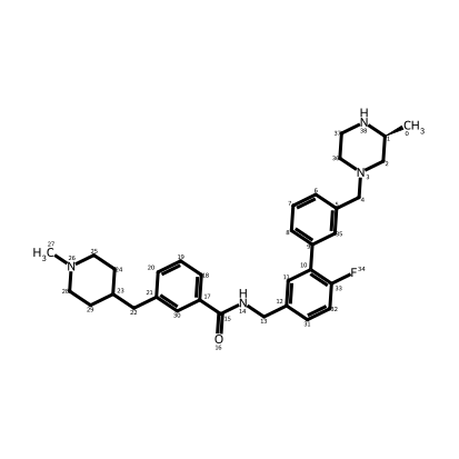 C[C@H]1CN(Cc2cccc(-c3cc(CNC(=O)c4cccc(CC5CCN(C)CC5)c4)ccc3F)c2)CCN1